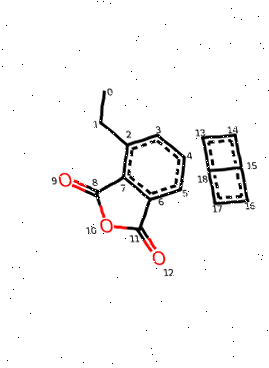 CCc1cccc2c1C(=O)OC2=O.c1cc2ccc1-2